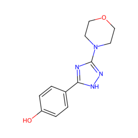 Oc1ccc(-c2nc(N3CCOCC3)n[nH]2)cc1